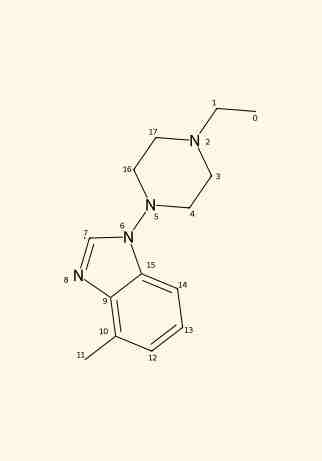 CCN1CCN(n2[c]nc3c(C)cccc32)CC1